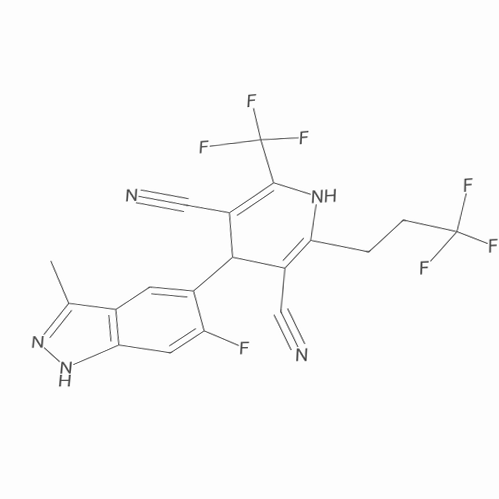 Cc1n[nH]c2cc(F)c(C3C(C#N)=C(CCC(F)(F)F)NC(C(F)(F)F)=C3C#N)cc12